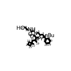 CCCC[C@](CCC)(CCCN(CC(=O)NCCO)C(=O)C(C)C(C)CC1(C)CCC1)c1ccccc1